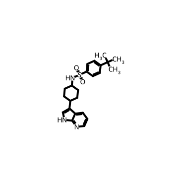 CC(C)(C)c1ccc(S(=O)(=O)NC2CCC(c3c[nH]c4ncccc34)CC2)cc1